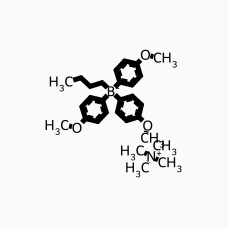 CCCC[B-](c1ccc(OC)cc1)(c1ccc(OC)cc1)c1ccc(OC)cc1.C[N+](C)(C)C